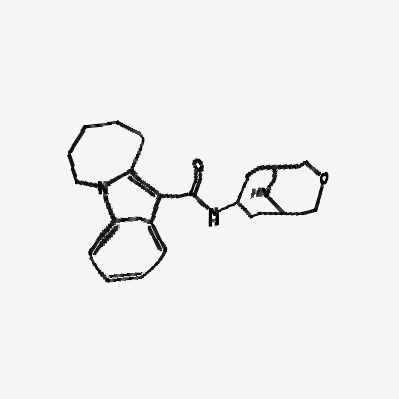 O=C(NC1CC2COCC(C1)N2)c1c2n(c3ccccc13)CCCCC2